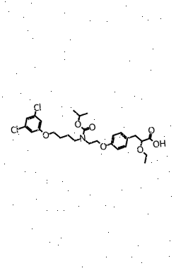 CCOC(Cc1ccc(OCCN(CCCCOc2cc(Cl)cc(Cl)c2)C(=O)OC(C)C)cc1)C(=O)O